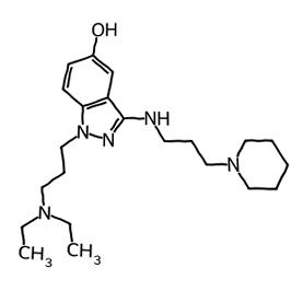 CCN(CC)CCCn1nc(NCCCN2CCCCC2)c2cc(O)ccc21